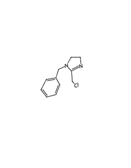 ClCC1=NCCN1Cc1ccccc1